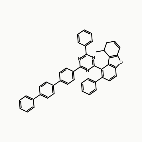 CC1CC=Cc2oc3ccc(-c4ccccc4)c(-c4nc(-c5ccccc5)nc(-c5ccc(-c6ccc(-c7ccccc7)cc6)cc5)n4)c3c21